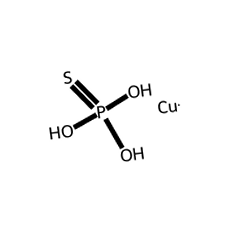 OP(O)(O)=S.[Cu]